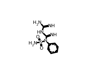 N=C(N)NC(=N)N(c1ccccc1)S(N)(=O)=O